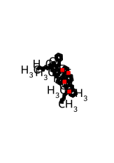 CCCCCC(C)(CC)C(=O)N(CC1CCCCC1)c1ccc(F)[c]([Ti]([c]2c(F)ccc(N(CC3CCCCC3)C(=O)C(C)(CC)CCCCC)c2F)([CH]2C=CC=C2)[CH]2C=CC=C2)c1F